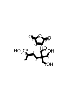 CC(=CCC(CO)(CO)CO)C(=O)O.O=C1C=CC(=O)O1